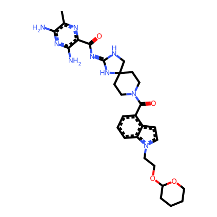 Cc1nc(C(=O)/N=C2\NCC3(CCN(C(=O)c4cccc5c4ccn5CCOC4CCCCO4)CC3)N2)c(N)nc1N